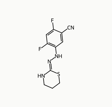 N#Cc1cc(NN=C2NCCCS2)c(F)cc1F